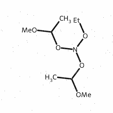 CCON(OC(C)OC)OC(C)OC